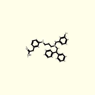 O=C(O)Cc1cccc(OCCCN(Cc2cccc(I)c2)CC(c2ccccc2)c2ccccc2)c1